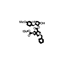 COc1ccc(C[C@H]2NC[C@H](O)[C@H]2OC(=O)C2CN(Cc3ccccc3)CC23CN(C(=O)OC(C)(C)C)C3)cc1